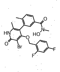 Cc1ccc(C(=O)N(C)O)cc1-c1c(C)[nH]c(=O)c(Br)c1OCc1ccc(F)cc1F